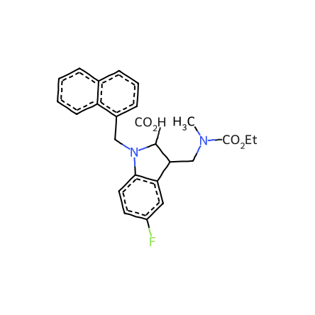 CCOC(=O)N(C)CC1c2cc(F)ccc2N(Cc2cccc3ccccc23)C1C(=O)O